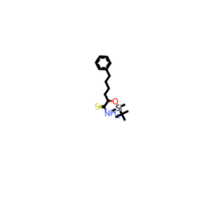 CC(C)(C)[Si](C)(C)OC(CCCCc1ccccc1)C(N)=S